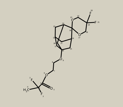 CC(F)(F)C(=O)OCCOC12CC3CC(C1)C1(OCC(F)(F)CO1)C(C3)C2